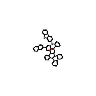 c1ccc(-c2c(-c3ccccc3)c3cc(-c4ccccc4N(c4cccc(-c5ccc6ccccc6c5)c4)c4ccc5c(c4)sc4ccccc45)ccc3c3ccccc23)cc1